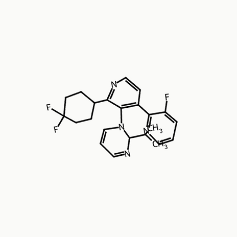 CC(C)C1N=CC=CN1c1c(-c2ncccc2F)ccnc1C1CCC(F)(F)CC1